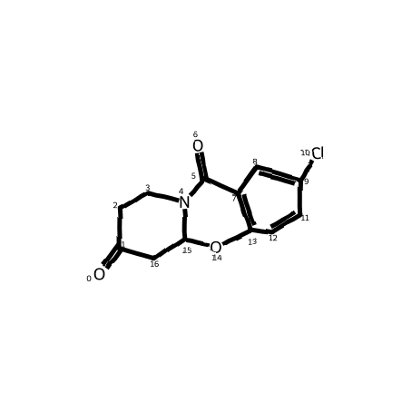 O=C1CCN2C(=O)c3cc(Cl)ccc3OC2C1